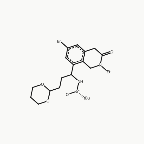 CCN1Cc2c(cc(Br)cc2C(CCC2OCCCO2)N[S@@+]([O-])C(C)(C)C)CC1=O